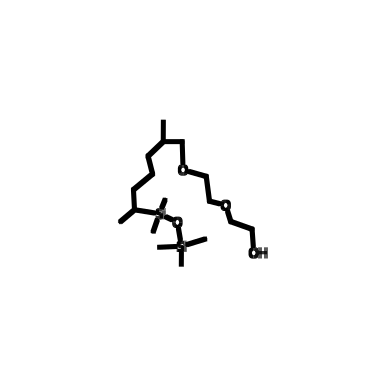 CC(CCCC(C)[Si](C)(C)O[Si](C)(C)C)COCCOCCO